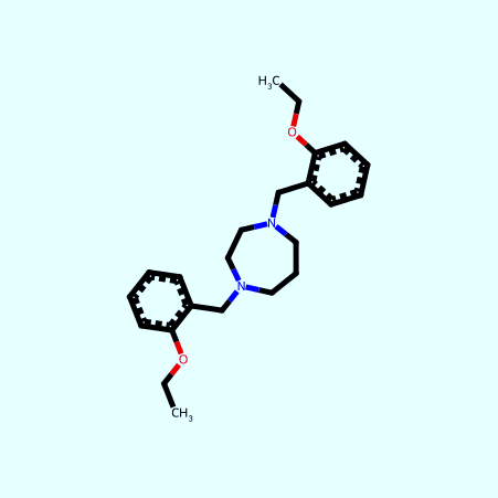 CCOc1ccccc1CN1CCCN(Cc2ccccc2OCC)CC1